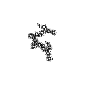 [3H]c1cccc(N(c2ccc(Oc3cccc(N(c4ccccc4)c4ccc(N(c5ccccc5)c5ccc(Oc6cccc(N(c7ccc(-c8ccccc8)cc7)c7cccc([3H])c7)c6)cc5)cc4)c3)cc2)c2ccc(-c3ccccc3)cc2)c1